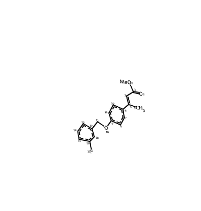 COC(=O)C=C(C)c1ccc(OCc2cccc(F)c2)cc1